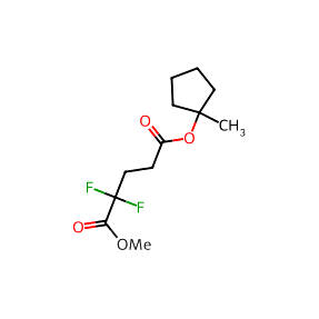 COC(=O)C(F)(F)CCC(=O)OC1(C)CCCC1